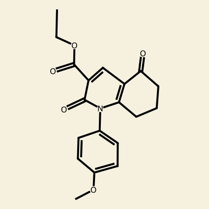 CCOC(=O)c1cc2c(n(-c3ccc(OC)cc3)c1=O)CCCC2=O